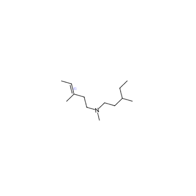 C/C=C(\C)CCN(C)CCC(C)CC